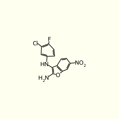 Nc1oc2cc([N+](=O)[O-])ccc2c1Nc1ccc(F)c(Cl)c1